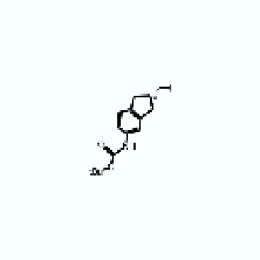 CC(C)(C)OC(=O)Nc1ccc2c(c1)C[C@@H](CI)C2